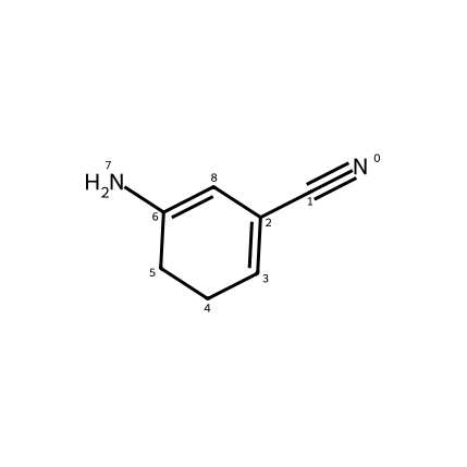 N#CC1=CCCC(N)=C1